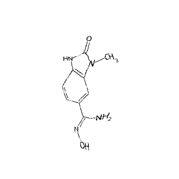 Cn1c(=O)[nH]c2ccc(/C(N)=N/O)cc21